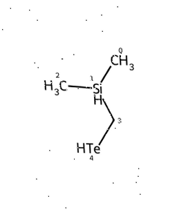 C[SiH](C)C[TeH]